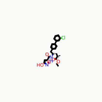 CCOC(=O)[C@H](C)C[C@@H](Cc1ccc(-c2cccc(Cl)c2)cc1)NC(=O)c1cc(O)no1